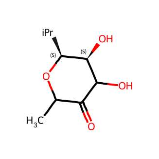 CC1O[C@@H](C(C)C)[C@@H](O)C(O)C1=O